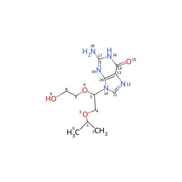 CC(C)OCC(OCCO)n1cnc2c(=O)[nH]c(N)nc21